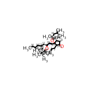 C=CCC1C(=O)CCC1(/C=C/[C@H](CCCCCC)O[Si](C)(C)C(C)(C)C)O[Si](C)(C)CC(C)C